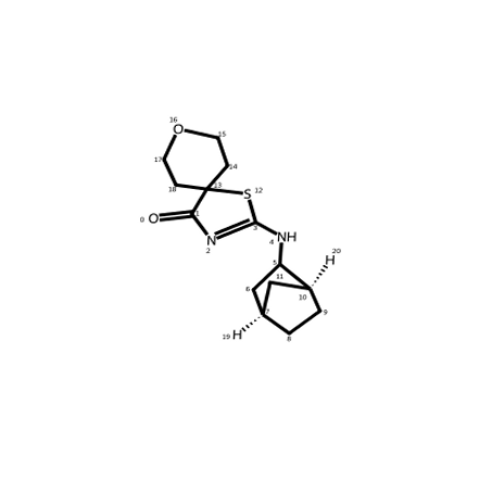 O=C1N=C(NC2C[C@@H]3CC[C@H]2C3)SC12CCOCC2